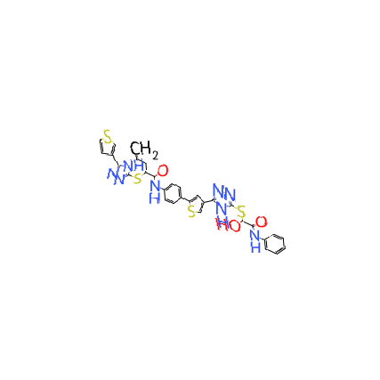 C=CCC(Sc1nnc(-c2ccsc2)[nH]1)C(=O)Nc1ccc(-c2cc(-c3nnc(SC(O)C(=O)Nc4ccccc4)[nH]3)cs2)cc1